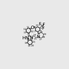 FC(F)(F)c1cccc(Oc2cccc(C3Nc4ccccc4N3CCN3CCCCC3)c2)c1